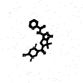 CCN1C[C@H](C)N(C(=O)N2Cc3c(NC(=O)c4ccccn4)n[nH]c3C2(C)C)C[C@@H]1C